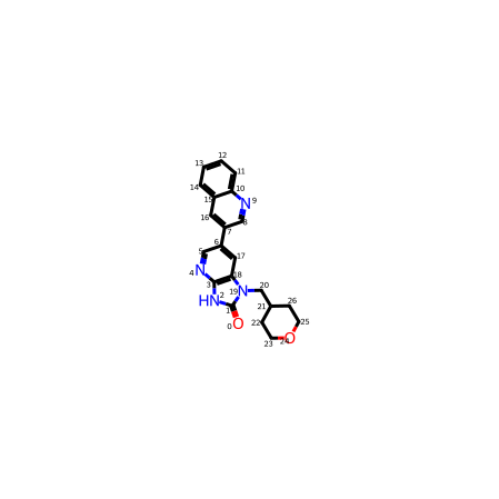 O=c1[nH]c2ncc(-c3cnc4ccccc4c3)cc2n1CC1CCOCC1